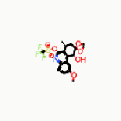 COc1ccc2nc(OS(=O)(=O)C(F)(F)F)c3c(c2c1)[C@@H](O)C(OC)(OC)C[C@@H]3C